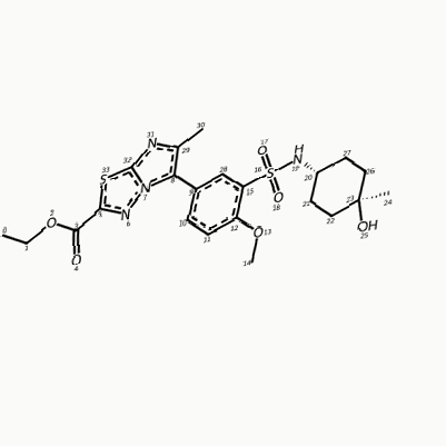 CCOC(=O)c1nn2c(-c3ccc(OC)c(S(=O)(=O)N[C@H]4CC[C@](C)(O)CC4)c3)c(C)nc2s1